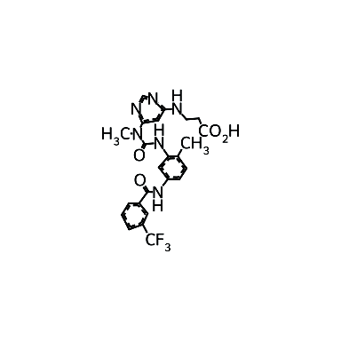 Cc1ccc(NC(=O)c2cccc(C(F)(F)F)c2)cc1NC(=O)N(C)c1cc(NCCC(=O)O)ncn1